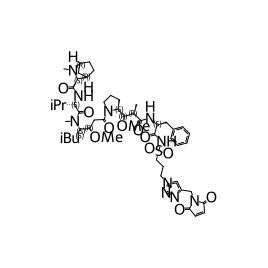 CC[C@H](C)[C@@H]([C@@H](CC(=O)N1CCC[C@H]1[C@H](OC)[C@@H](C)C(=O)N[C@@H](Cc1ccccc1)C(=O)NS(=O)(=O)CCCn1cc(CN2C(=O)C=CC2=O)nn1)OC)N(C)C(=O)[C@@H](NC(=O)[C@@H]1[C@@H]2CC[C@H](C2)N1C)C(C)C